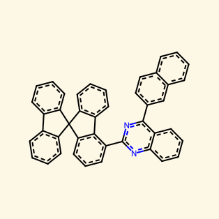 c1ccc2c(c1)-c1ccccc1C21c2ccccc2-c2c(-c3nc(-c4ccc5ccccc5c4)c4ccccc4n3)cccc21